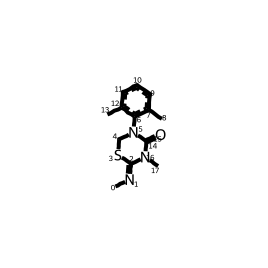 CN=C1SCN(c2c(C)cccc2C)C(=O)N1C